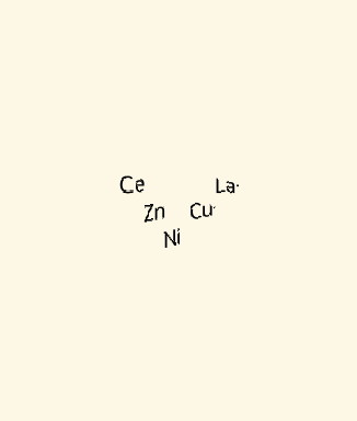 [Ce].[Cu].[La].[Ni].[Zn]